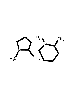 CC1CCCCN1C.CC1CCCN1C